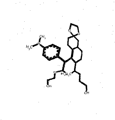 CC(CCCO)C1CCC2CC3(CCC2=C1C(c1ccc(N(C)C)cc1)C(C)OCCO)OCCO3